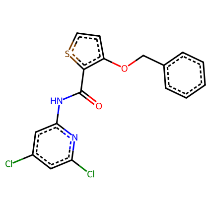 O=C(Nc1cc(Cl)cc(Cl)n1)c1sccc1OCc1ccccc1